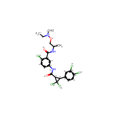 CC(CON(C=O)CC(F)(F)F)NC(=O)c1cc(NC(=O)C2C(c3ccc(Cl)c(Cl)c3)C2(Cl)Cl)ccc1Cl